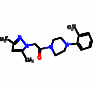 Cc1cc(C)n(CC(=O)N2CCN(c3ccccc3[N+](=O)[O-])CC2)n1